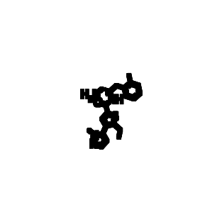 CCc1sc(C(=O)N[C@H](CN)Cc2ccccc2C)cc1-c1ccnn1C